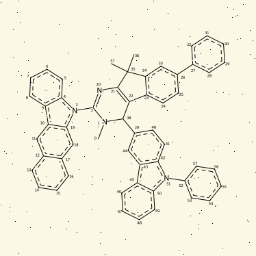 CN1C(n2c3ccccc3c3cc4ccccc4cc32)=NC2=C(c3ccc(-c4ccccc4)cc3C2(C)C)C1c1ccc2c(c1)c1ccccc1n2-c1ccccc1